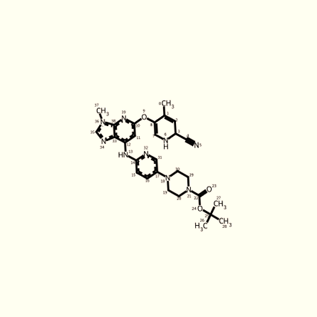 CC1=CC(C#N)NC=C1Oc1cc(Nc2ccc(N3CCN(C(=O)OC(C)(C)C)CC3)cn2)c2ncn(C)c2n1